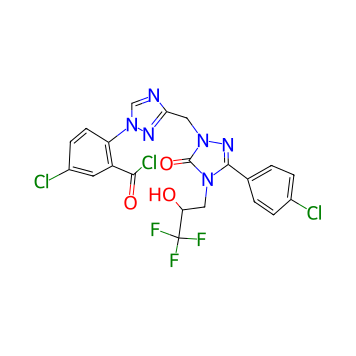 O=C(Cl)c1cc(Cl)ccc1-n1cnc(Cn2nc(-c3ccc(Cl)cc3)n(CC(O)C(F)(F)F)c2=O)n1